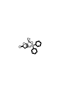 CCC(O[Si](c1ccccc1)(c1ccccc1)C(C)(C)C)[C@@H]1CCC(=O)O1